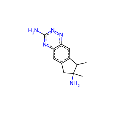 CC1c2cc3nnc(N)nc3cc2CC1(C)N